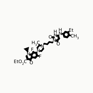 CCOC(=O)c1cn(C2CC2)c2c(F)c(N3CCN(CCCCn4c(=O)cc(Nc5ccc(C)c(CC)c5)[nH]c4=O)C(C)C3)c(F)cc2c1=O